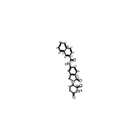 O=C1CCC(N2Cc3cc(NC(=O)c4ccc5ccccc5c4)ccc3C2=O)C(=O)N1